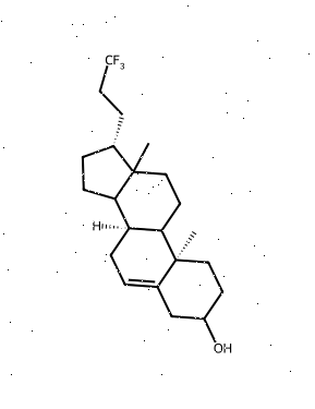 CC12CCC3[C@@H](CC=C4CC(O)CC[C@@]43C)C1CC[C@@H]2CCC(F)(F)F